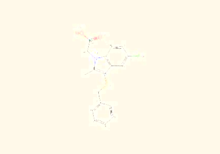 Cc1c(SCc2ccccc2)c2cc(F)ccc2n1CC(=O)O